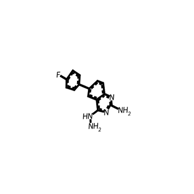 NNc1nc(N)nc2ccc(-c3ccc(F)cc3)cc12